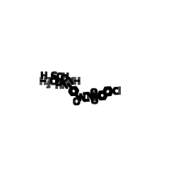 CC(C)(C)OC(=O)NC(=N)c1ccc(C(=O)N2CCN(S(=O)(=O)c3ccc4cc(Cl)ccc4c3)CC2)cc1